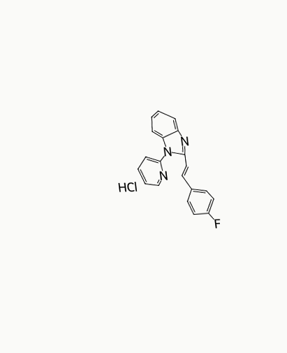 Cl.Fc1ccc(/C=C/c2nc3ccccc3n2-c2ccccn2)cc1